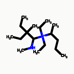 CCCC(C)[N+](CC)(CC)C(NC)C(C)(CC)CC